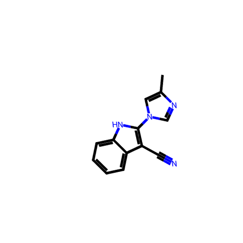 Cc1cn(-c2[nH]c3ccccc3c2C#N)cn1